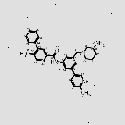 Cc1ccc(-c2cc(CN3CCC[C@H](N)C3)cc(NC(=O)c3cc(-c4ccccc4)c(C)cn3)c2)cn1